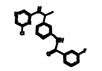 CC(Nc1cncc(Cl)n1)c1cccc(NC(=O)c2cccc(F)c2)c1